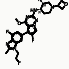 COc1nc(N[C@H]2CCN(C3COC3)C[C@H]2F)nn2cc(F)c(-c3cc(F)c4nc(C)n(CCF)c4c3)c12